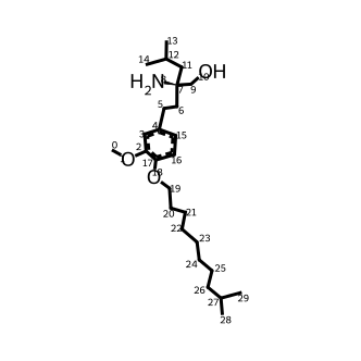 COc1cc(CC[C@@](N)(CO)CC(C)C)ccc1OCCCCCCCCC(C)C